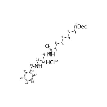 CCCCCCCCCCCCCCCCCC(=O)NCCCNCc1ccccc1.Cl